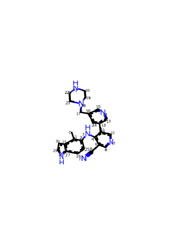 Cc1c(Nc2c(C#N)cncc2-c2cncc(CN3CCNCC3)c2)ccc2[nH]ccc12